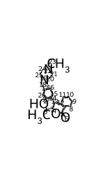 CC(O)c1oc(=O)c2ccccc2c1-c1ccc(CN2CCN(C)CC2)cc1